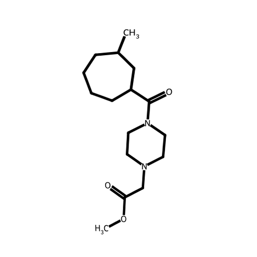 COC(=O)CN1CCN(C(=O)C2CCCCC(C)C2)CC1